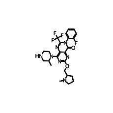 CC1CNCCN1c1nc(OCC2CCCN2C)nc2c(=O)n(-c3ccccc3F)c(C(F)(F)F)nc12